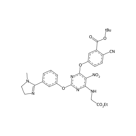 CCOC(=O)CNc1nc(Oc2cccc(C3=NCCN3C)c2)nc(Oc2ccc(C#N)c(C(=O)OC(C)(C)C)c2)c1[N+](=O)[O-]